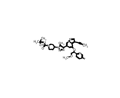 CC#Cc1cnn2cc(-c3nnn(C4CCN(C(=O)OC(C)(C)C)CC4)c3C)cc(OC(COC)c3ccc(F)cn3)c12